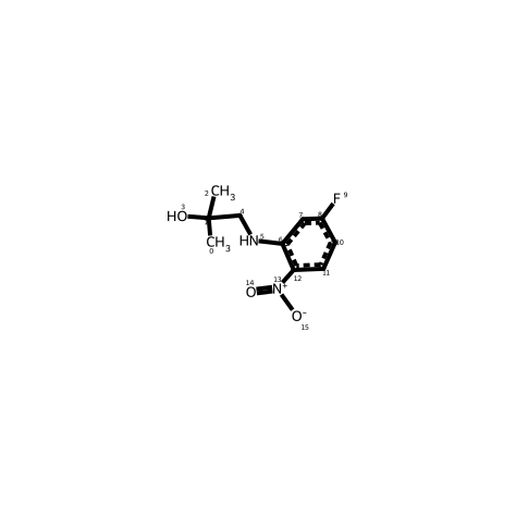 CC(C)(O)CNc1cc(F)ccc1[N+](=O)[O-]